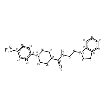 O=C(NCCN1CCc2ccccc21)C1CCN(c2ccc(C(F)(F)F)cn2)CC1